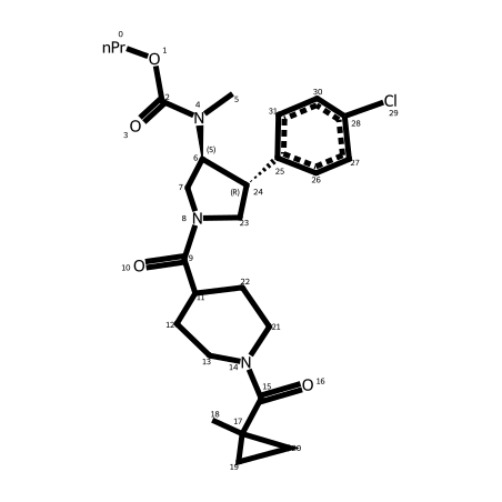 CCCOC(=O)N(C)[C@@H]1CN(C(=O)C2CCN(C(=O)C3(C)CC3)CC2)C[C@H]1c1ccc(Cl)cc1